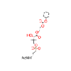 CC(=O)NCCCS(=O)(=O)OCC(C)(C)[C@@H](O)C(=O)OCCOC(=O)Oc1ccccc1